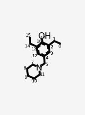 CCc1cc(CN2CCCCC2)cc(CC)c1O